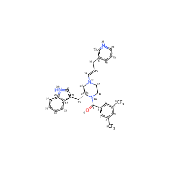 O=C(c1cc(C(F)(F)F)cc(C(F)(F)F)c1)N1CCN(C=CCc2cccnc2)C[C@H]1Cc1c[nH]c2ccccc12